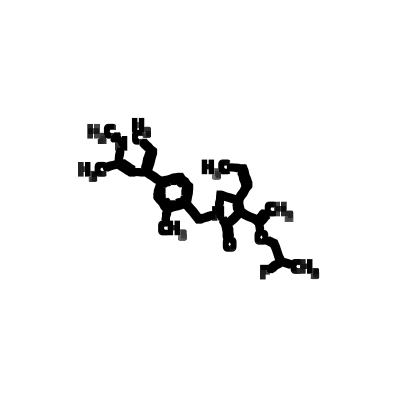 C=N/C(C)=C\C(=C/C)c1ccc(CN2CC(/C=C\C)=C(C(=C)OCC(C)F)C2=O)c(C)c1